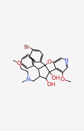 COCCN(C)CC1C(O)C2(O)c3c(OC)cncc3OC2(c2ccc(Br)cc2)C1c1ccccc1